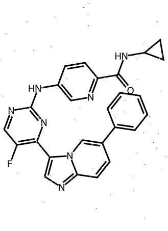 O=C(NC1CC1)c1ccc(Nc2ncc(F)c(-c3cnc4ccc(-c5ccccc5)cn34)n2)cn1